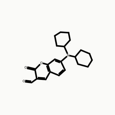 O=Cc1cc2ccc(N(C3CCCCC3)C3CCCCC3)cc2oc1=O